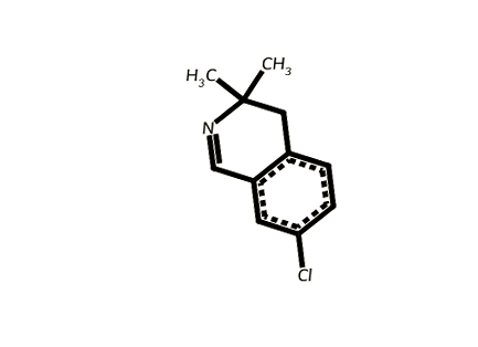 CC1(C)Cc2ccc(Cl)cc2C=N1